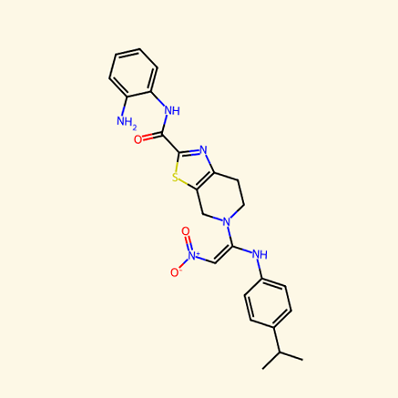 CC(C)c1ccc(NC(=C[N+](=O)[O-])N2CCc3nc(C(=O)Nc4ccccc4N)sc3C2)cc1